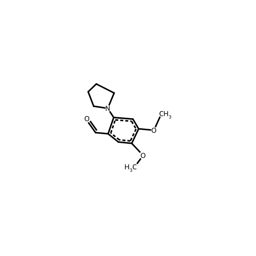 COc1cc(C=O)c(N2CCCC2)cc1OC